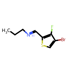 CCC/N=C/c1scc(Br)c1F